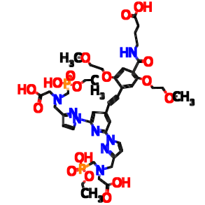 CCOP(=O)(O)CN(CC(=O)O)Cc1ccn(-c2cc(C#Cc3cc(OCCOC)c(C(=O)NCCCC(=O)O)cc3OCCOC)cc(-n3ccc(CN(CC(=O)O)CP(=O)(O)OCC)n3)n2)n1